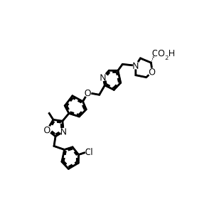 Cc1oc(Cc2cccc(Cl)c2)nc1-c1ccc(OCc2ccc(CN3CCO[C@@H](C(=O)O)C3)cn2)cc1